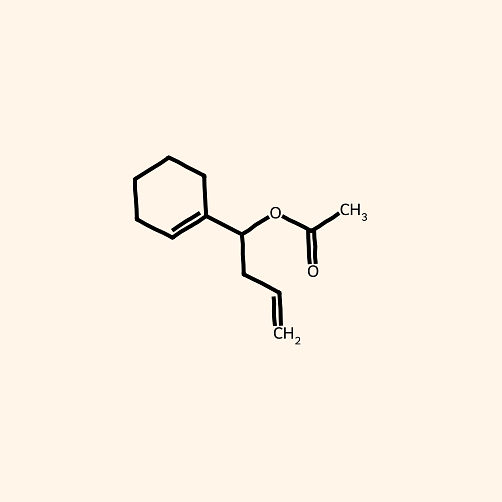 C=CCC(OC(C)=O)C1=CCCCC1